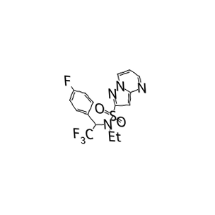 CCN(C(c1ccc(F)cc1)C(F)(F)F)S(=O)(=O)c1cc2ncccn2n1